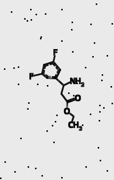 CCOC(=O)CC(N)c1cc(F)cc(F)c1